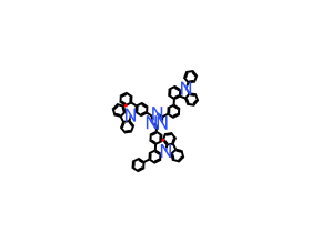 c1ccc(-c2ccc(-n3c4ccccc4c4ccccc43)c(-c3ccc(-c4nc(-c5cccc(-c6cccc7c6c6ccccc6n7-c6ccccc6)c5)nc(-c5ccc(-c6ccccc6)c(-n6c7ccccc7c7ccccc76)c5)n4)cc3)c2)cc1